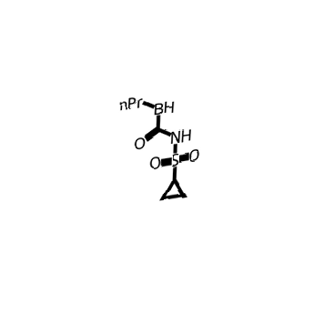 CCCBC(=O)NS(=O)(=O)C1CC1